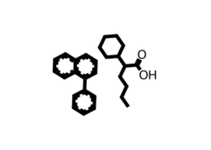 CCCCC(C(=O)O)C1CCCCC1.c1ccc(-c2cccc3ccccc23)cc1